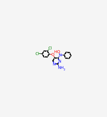 Nc1ncc(Oc2ccc(Cl)cc2Cl)c(N(O)c2ccccc2)n1